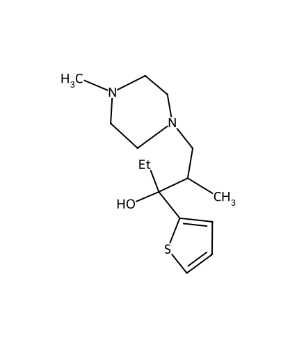 CCC(O)(c1cccs1)C(C)CN1CCN(C)CC1